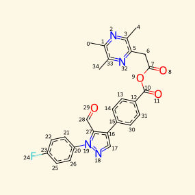 Cc1nc(C)c(CC(=O)OC(=O)c2ccc(-c3cnn(-c4ccc(F)cc4)c3C=O)cc2)nc1C